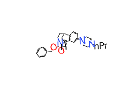 CCCN1CCN(c2ccc3c(c2)[C@H]2CC3CCN2C(=O)OCc2ccccc2)CC1